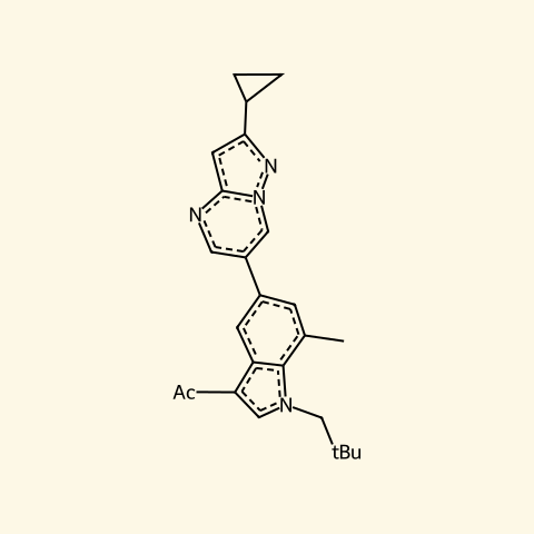 CC(=O)c1cn(CC(C)(C)C)c2c(C)cc(-c3cnc4cc(C5CC5)nn4c3)cc12